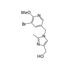 COc1ncc(Cn2cc(CO)nc2C)cc1Br